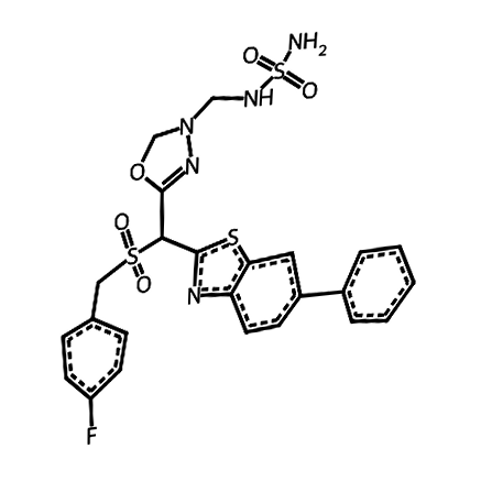 NS(=O)(=O)NCN1COC(C(c2nc3ccc(-c4ccccc4)cc3s2)S(=O)(=O)Cc2ccc(F)cc2)=N1